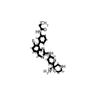 C=CC(=O)Nc1cccc(-c2c(F)ccc3cnc(Nc4ccc([C@]5(CN)CNCCO5)nc4)nc23)c1